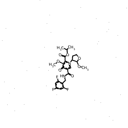 COc1c(C(=O)OC(C)C)n(C2CCOC2OC)cc(C(=O)NCc2c(F)cc(F)cc2F)c1=O